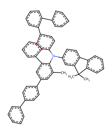 Cc1cc(-c2ccc(-c3ccccc3)cc2)cc(-c2ccccc2)c1N(c1ccc(-c2ccccc2-c2ccccc2)cc1)c1ccc2c(c1)C(C)(C)c1ccccc1-2